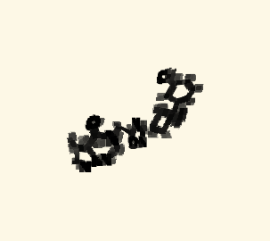 Cc1cnn2ncn(Cc3nc([C@H]4C[C@](F)(c5cccc(Cl)c5)C4)no3)c(=O)c12